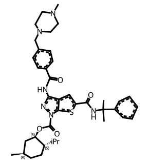 CC(C)[C@@H]1CC[C@@H](C)C[C@H]1OC(=O)n1nc(NC(=O)c2ccc(CN3CCN(C)CC3)cc2)c2cc(C(=O)NC(C)(C)c3ccccc3)sc21